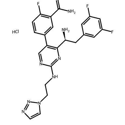 Cl.NC(=O)c1cc(-c2cnc(NCCn3ccnn3)nc2[C@@H](N)Cc2cc(F)cc(F)c2)ccc1F